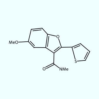 CNC(=O)c1c(-c2cccs2)oc2ccc(OC)cc12